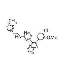 COc1cc(-c2nc3sccn3c2-c2ccnc(NCCN3CCN(C)S3)n2)ccc1Cl